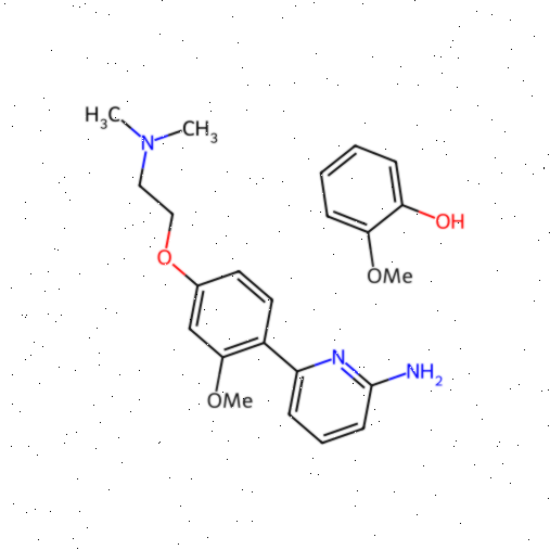 COc1cc(OCCN(C)C)ccc1-c1cccc(N)n1.COc1ccccc1O